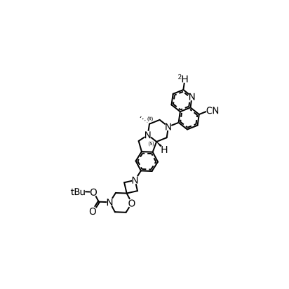 [2H]c1ccc2c(N3C[C@@H](C)N4Cc5cc(N6CC7(CN(C(=O)OC(C)(C)C)CCO7)C6)ccc5[C@H]4C3)ccc(C#N)c2n1